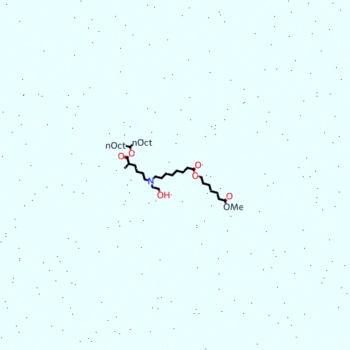 CCCCCCCCC(CCCCCCCC)OC(=O)C(C)CCCCN(CCO)CCCCCCCC(=O)OCCCCCCC(=O)OC